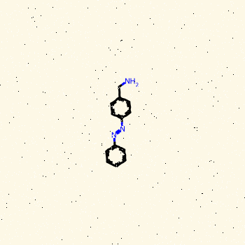 NCc1ccc(N=Nc2ccccc2)cc1